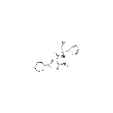 Nc1ncc(C2CCOCC2)nc1C(=O)N[C@H](CO)c1ccccc1